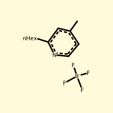 CCCCCCc1cc(C)ccn1.F[B-](F)(F)F